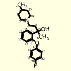 CC1CCN(CCC(C)(O)c2ccccc2Oc2ccc(F)cc2)CC1